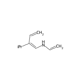 C=CN/C=C(\C=C)C(C)C